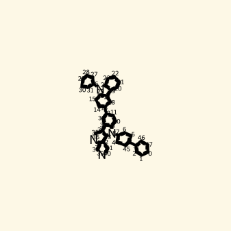 c1ccc(-c2ccc(-n3c4ccc(-c5ccc6c(c5)c5ccccc5n6-c5ccccc5)cc4c4cnc5cnccc5c43)cc2)cc1